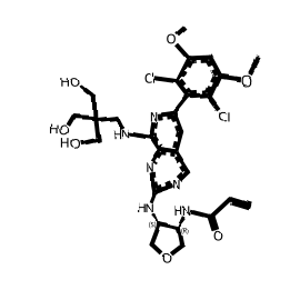 C=CC(=O)N[C@H]1COC[C@H]1Nc1ncc2cc(-c3c(Cl)c(OC)cc(OC)c3Cl)nc(NCC(CO)(CO)CO)c2n1